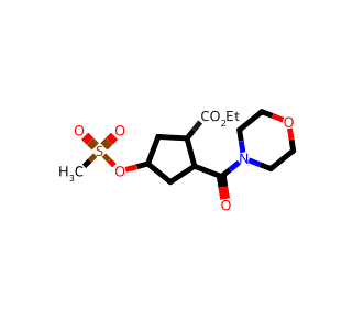 CCOC(=O)C1CC(OS(C)(=O)=O)CC1C(=O)N1CCOCC1